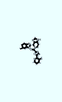 Cc1ccc2nc([C@@H]3c4nc[nH]c4CCN3C(=O)c3nnc(-c4ncccc4F)o3)oc2c1